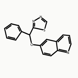 c1ccc(C(Oc2ccc3ncccc3c2)c2nncs2)cc1